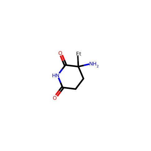 CCC1(N)CCC(=O)NC1=O